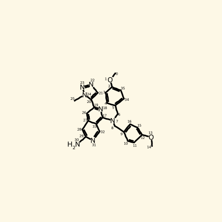 COc1ccc(CN(Cc2ccc(OC)cc2)c2nc(-c3cnnn3C)cc3cc(N)ncc23)cc1